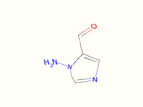 Nn1cncc1C=O